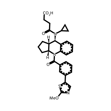 COc1ncc(-c2cccc(C(=O)N3c4ccccc4[C@H](N(C(=O)CCC(=O)O)C4CC4)[C@H]4CCC[C@H]43)c2)s1